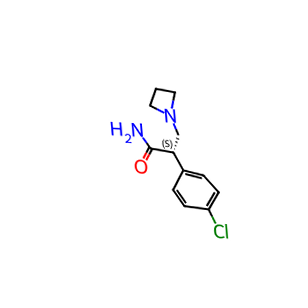 NC(=O)[C@H](CN1CCC1)c1ccc(Cl)cc1